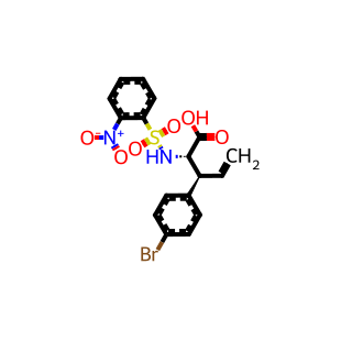 C=C[C@@H](c1ccc(Br)cc1)[C@H](NS(=O)(=O)c1ccccc1[N+](=O)[O-])C(=O)O